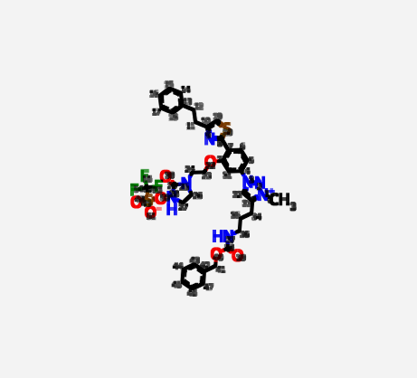 C[n+]1nn(-c2ccc(-c3nc(CCc4ccccc4)cs3)c(OCCN3CCNC3=O)c2)cc1CCCNC(=O)OCc1ccccc1.O=S(=O)([O-])C(F)(F)F